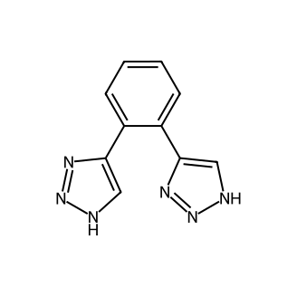 c1ccc(-c2c[nH]nn2)c(-c2c[nH]nn2)c1